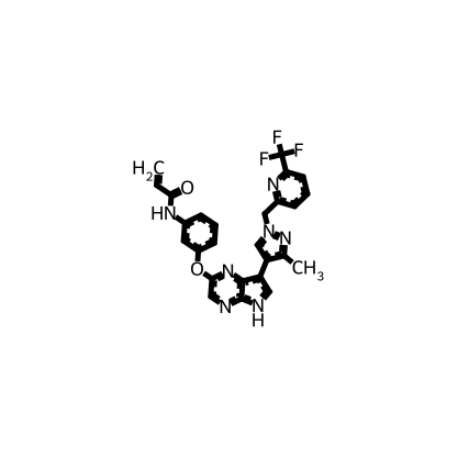 C=CC(=O)Nc1cccc(Oc2cnc3[nH]cc(-c4cn(Cc5cccc(C(F)(F)F)n5)nc4C)c3n2)c1